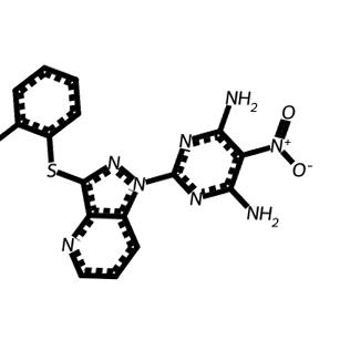 Nc1nc(-n2nc(Sc3ccccc3F)c3ncccc32)nc(N)c1[N+](=O)[O-]